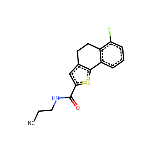 N#CCCNC(=O)c1cc2c(s1)-c1cccc(F)c1CC2